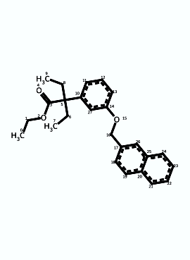 CCOC(=O)C(CC)(CC)c1cccc(OCc2ccc3ccccc3c2)c1